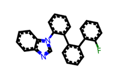 Fc1ccccc1-c1ccccc1-c1ccccc1-n1cnc2ccccc21